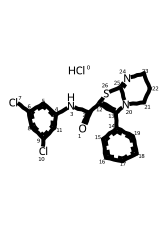 Cl.O=C(Nc1cc(Cl)cc(Cl)c1)C1=C(c2ccccc2)N2CCCN=C2S1